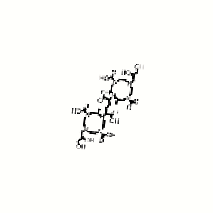 CC1CN(C(=O)O)CCN(CC(O)CO)CCN(C(=O)O)CCN1C(CCC(C(=O)O)N1CCN(C(=O)O)CCN(CC(O)CO)CCN(C(=O)O)CC1C)C(=O)O